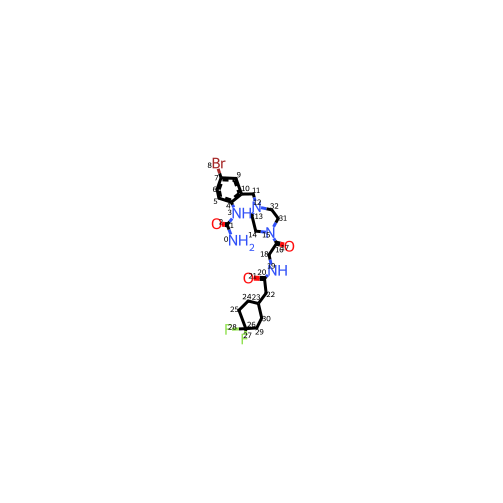 NC(=O)Nc1ccc(Br)cc1CN1CCN(C(=O)CNC(=O)CC2CCC(F)(F)CC2)CC1